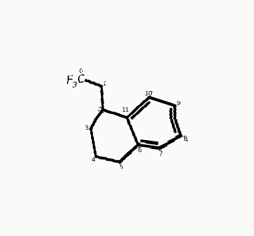 FC(F)(F)C[C]1CCCc2ccccc21